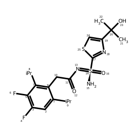 CC(C)c1cc(F)c(F)c(C(C)C)c1CC(=O)N=[S@@](N)(=O)c1nc(C(C)(C)O)cs1